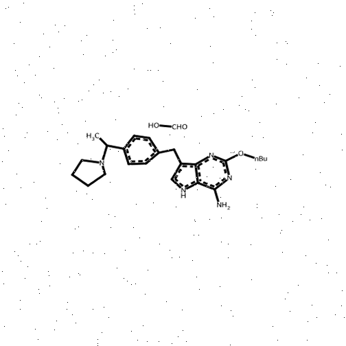 CCCCOc1nc(N)c2[nH]cc(Cc3ccc(C(C)N4CCCC4)cc3)c2n1.O=CO